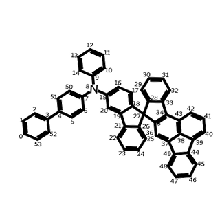 c1ccc(-c2ccc(N(c3ccccc3)c3ccc4c(c3)-c3ccccc3C43c4ccccc4-c4c3cc3c5c(cccc45)-c4ccccc4-3)cc2)cc1